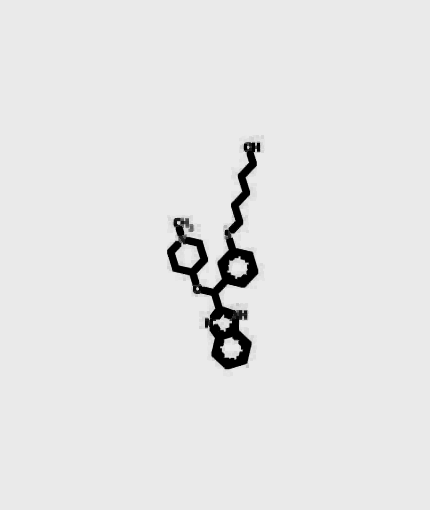 CN1CCC(OC(c2cccc(SCCCCCO)c2)c2nc3ccccc3[nH]2)CC1